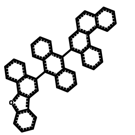 c1ccc2c(c1)ccc1cc(-c3c4ccccc4c(-c4cc5c6ccccc6oc5c5ccccc45)c4ccccc34)c3ccccc3c12